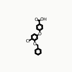 O=C(O)c1ccc(Oc2ccc(Cl)c(OCc3ccccc3)c2)cc1